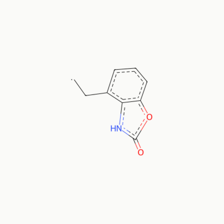 [CH2]Cc1cccc2oc(=O)[nH]c12